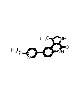 COc1ccc(-c2ccc3[nH]c(=O)c4c(c3c2)C(C)CN4)cn1